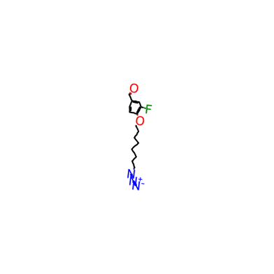 [N-]=[N+]=NCCCCCCCCOc1ccc(C=O)cc1F